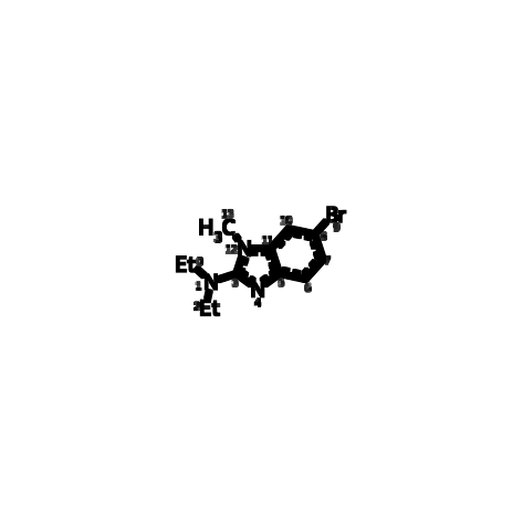 CCN(CC)c1nc2ccc(Br)cc2n1C